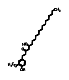 CCCCCCCCCCCCCCCC(O)CC(=O)CCc1ccc(O)c(OC)c1